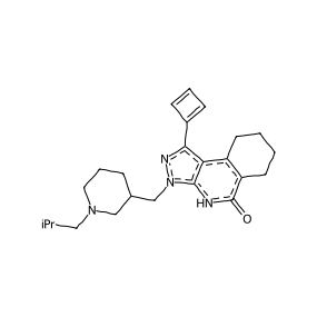 CC(C)CN1CCCC(Cn2nc(C3=CC=C3)c3c4c(c(=O)[nH]c32)CCCC4)C1